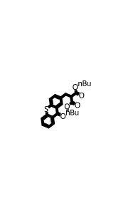 CCCCOC(=O)C(Cc1ccc2sc3ccccc3c(=O)c2c1)C(=O)OCCCC